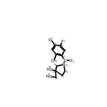 [O-][S+](c1cc(F)c(Cl)cc1Cl)N1CCC(O)(CO)C1